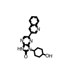 O=c1[nH]c2ncc(-c3cnc4ccccc4c3)nc2n1C1CCC(O)CC1